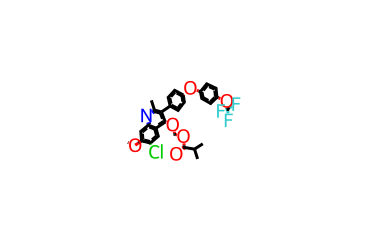 COc1cc2nc(C)c(-c3ccc(Oc4ccc(OC(F)(F)F)cc4)cc3)c(OCOC(=O)C(C)C)c2cc1Cl